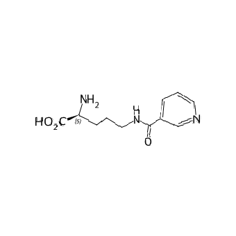 N[C@@H](CCCNC(=O)c1cccnc1)C(=O)O